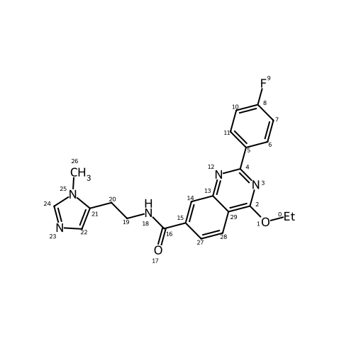 CCOc1nc(-c2ccc(F)cc2)nc2cc(C(=O)NCCc3cncn3C)ccc12